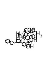 CC(=O)C1=C(O)C(C(C)C)[C@@]2(C)C[C@@]3(C)Cc4c(-c5cccc(CCCc6ccccc6)c5)ccc(O)c4C(=O)C3=C(O)[C@@]2(O)C1=O